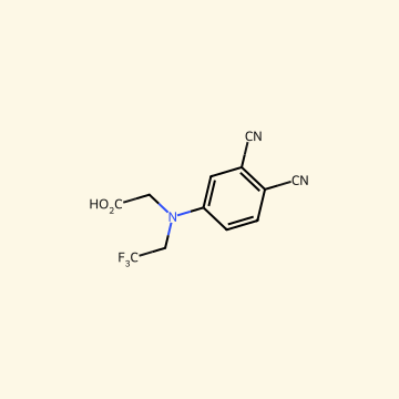 N#Cc1ccc(N(CC(=O)O)CC(F)(F)F)cc1C#N